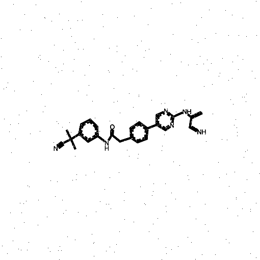 C=C(C=N)Nc1ncc(-c2ccc(CC(=O)Nc3cccc(C(C)(C)C#N)c3)cc2)cn1